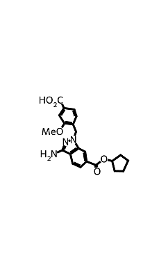 COc1cc(C(=O)O)ccc1Cn1nc(N)c2ccc(C(=O)OC3CCCC3)cc21